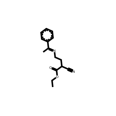 CCOC(=O)C(C#N)CCN=C(C)c1ccccc1